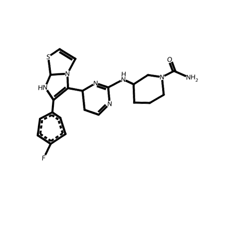 NC(=O)N1CCCC(NC2=NC(C3=C(c4ccc(F)cc4)NC4SC=CN34)CC=N2)C1